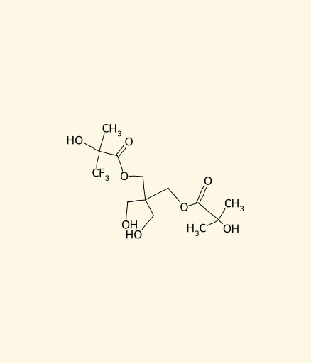 CC(C)(O)C(=O)OCC(CO)(CO)COC(=O)C(C)(O)C(F)(F)F